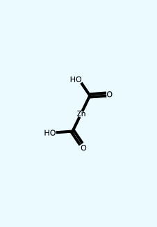 O=[C](O)[Zn][C](=O)O